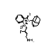 NC/C=C(\F)CS(=O)(=O)c1ccccc1C(=O)NC12CC3CC(CC(C3)C1)C2